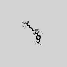 CC(C)Cc1ccc(C(C)C(=O)NCCCCC(N)C(=O)O)cc1.Cl